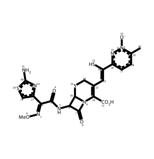 CON=C(C(=O)NC1C(=O)N2C(C(=O)O)=C(C=C(S)c3ccc(C)[n+]([O-])n3)CSC12)c1csc(N)n1